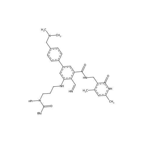 CCCN(CCCNc1cc(-c2ccc(CN(C)C)cc2)cc(C(=O)NCc2c(C)cc(C)[nH]c2=O)c1C=N)C(=O)C(C)(C)C